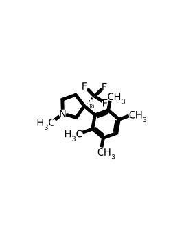 Cc1cc(C)c(C)c([C@]2(C(F)(F)F)CCN(C)C2)c1C